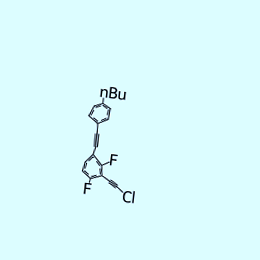 CCCCc1ccc(C#Cc2ccc(F)c(C#CCl)c2F)cc1